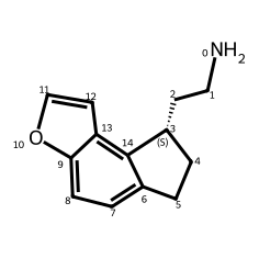 NCC[C@@H]1CCc2ccc3occc3c21